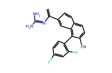 C=C(N=C(N)N)c1ccc2ccc(C#N)c(-c3ccc(F)cc3F)c2c1